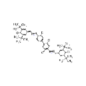 CC(C)(C)C1=CC(=C/N=N/c2ccc(-c3cc(Cl)c(/N=N/C=C4C=C(C(C)(C)C)C(=O)C(C(C)(C)C)=C4)cc3Cl)cc2Cl)C=C(C(C)(C)C)C1=O